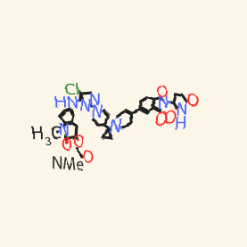 CNC(=O)COc1cc2cc(Nc3nc(N4CCC(C5(N6CCC(c7ccc8c(c7)C(=O)N(C7CCC(=O)NC7=O)C8=O)CC6)CC5)CC4)ncc3Cl)ccc2n(C)c1=O